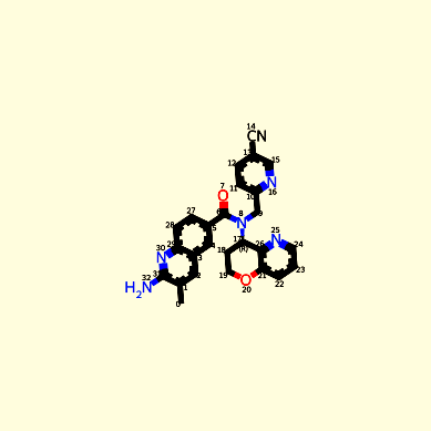 Cc1cc2cc(C(=O)N(Cc3ccc(C#N)cn3)[C@@H]3CCOc4cccnc43)ccc2nc1N